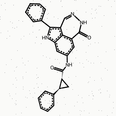 O=C1NN=Cc2c(-c3ccccc3)[nH]c3cc(NC(=O)[C@@H]4C[C@H]4c4ccccc4)cc1c23